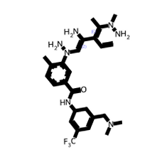 C=CC(/C(N)=C/N(N)c1cc(C(=O)NC2C=C(C(F)(F)F)C=C(CN(C)C)C2)ccc1C)=C(/C)N(C)N